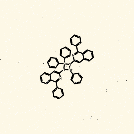 c1ccc(-c2nc(N3[SiH](c4ccccc4)N(c4cc5ccccc5c(-c5ccccc5)n4)[Si]3(c3ccccc3)c3ccccc3)cc3ccccc23)cc1